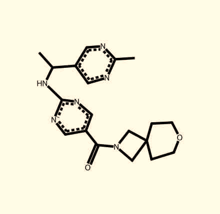 Cc1ncc(C(C)Nc2ncc(C(=O)N3CC4(CCOCC4)C3)cn2)cn1